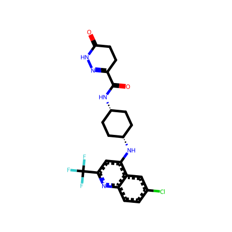 O=C1CCC(C(=O)N[C@H]2CC[C@@H](Nc3cc(C(F)(F)F)nc4ccc(Cl)cc34)CC2)=NN1